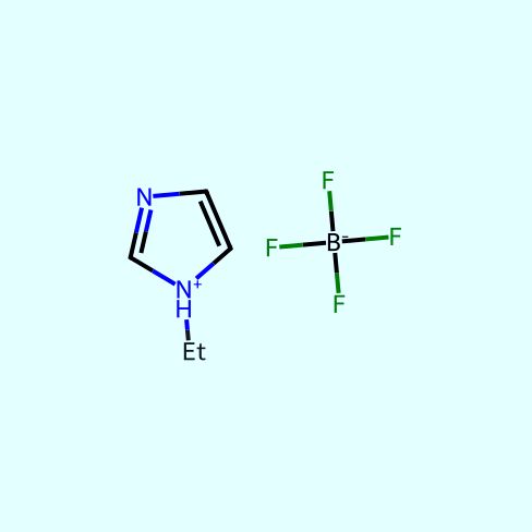 CC[NH+]1C=CN=C1.F[B-](F)(F)F